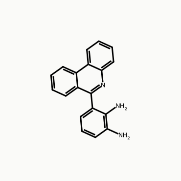 Nc1cccc(-c2nc3ccccc3c3ccccc23)c1N